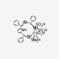 O=S(=O)(O)C1=CC2=C(c3ccccc3)c3ccc([nH]3)C(c3ccccc3)=C3C=CC(=N3)C(c3ccccc3)=C3NC(C(S(=O)(=O)O)=C3S(=O)(=O)O)C(c3ccccc3)(S(=O)(=O)O)C1=N2